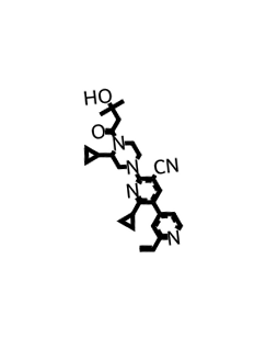 C=Cc1cc(-c2cc(C#N)c(N3CCN(C(=O)CC(C)(C)O)C(C4CC4)C3)nc2C2CC2)ccn1